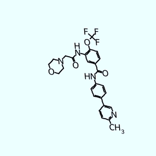 Cc1ccc(-c2ccc(NC(=O)c3ccc(OC(F)(F)F)c(NC(=O)CN4CCOCC4)c3)cc2)cn1